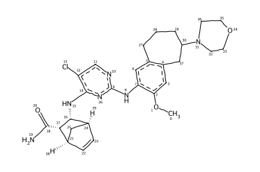 COc1cc2c(cc1Nc1ncc(Cl)c(N[C@H]3[C@@H](C(N)=O)[C@@H]4C=C[C@H]3C4)n1)CCCC(N1CCOCC1)C2